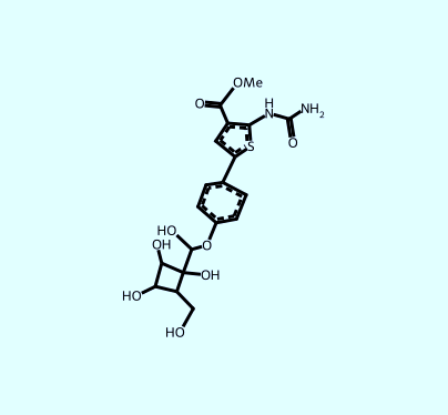 COC(=O)c1cc(-c2ccc(OC(O)C3(O)C(O)C(O)C3CO)cc2)sc1NC(N)=O